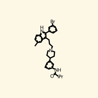 Cc1ccc2[nH]c(-c3cccc(Br)c3)c(CCCN3CCC(c4cccc(NC(=O)C(C)C)c4)CC3)c2c1